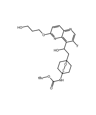 CC(C)(C)OC(=O)NC12CCC(CC(O)c3c(F)cnc4ccc(OCCCO)nc34)(CC1)OC2